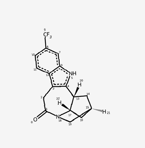 O=C1Cc2c([nH]c3cc(C(F)(F)F)ccc23)[C@@H]2C[C@H]3C[C@@H]2N1C3